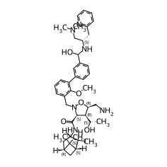 COc1c(CN2O[C@@H](CN)[C@@H]([C@H](C)O)[C@H]2C(=O)N[C@H]2C[C@H]3C[C@@H]([C@@H]2C)C3(C)C)cccc1-c1cccc(C(O)N[C@@H](Cc2ccccn2)CN(C)C)c1